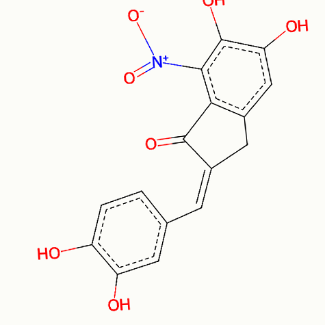 O=C1C(=Cc2ccc(O)c(O)c2)Cc2cc(O)c(O)c([N+](=O)[O-])c21